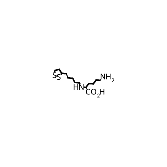 NCCCC[C@H](NCCCCCC1CCSS1)C(=O)O